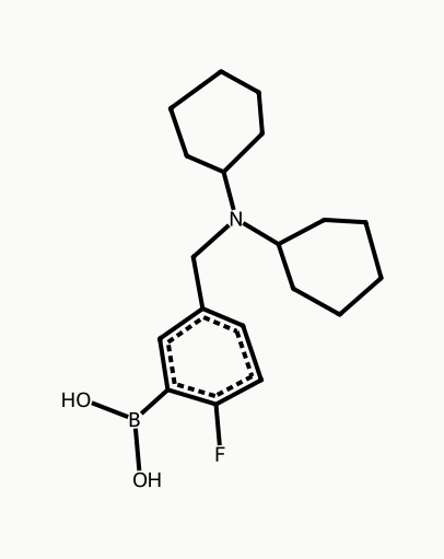 OB(O)c1cc(CN(C2CCCCC2)C2CCCCC2)ccc1F